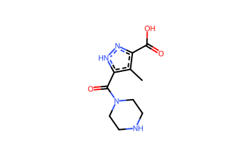 Cc1c(C(=O)O)n[nH]c1C(=O)N1CCNCC1